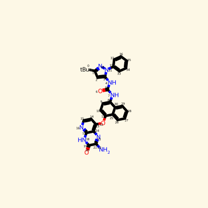 CC(C)(C)c1cc(NC(=O)Nc2ccc(Oc3ccnc4[nH]c(=O)c(N)nc34)c3ccccc23)n(-c2ccccc2)n1